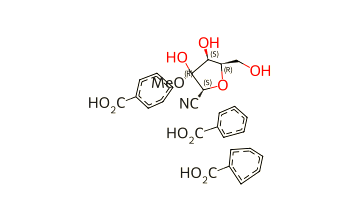 CO[C@@]1(O)[C@H](C#N)O[C@H](CO)[C@@H]1O.O=C(O)c1ccccc1.O=C(O)c1ccccc1.O=C(O)c1ccccc1